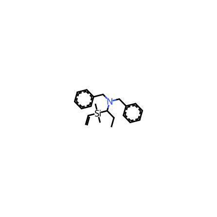 C=C[Si](C)(C)C(CC)N(Cc1ccccc1)Cc1ccccc1